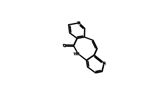 O=C1Nc2cccnc2/C=C\c2cnccc21